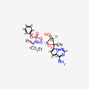 CCOC(=O)[C@@H](NP(=O)(OC[C@H]1O[C@@](C#N)(c2ccc3c(N)ncnn23)[C@@H](C)[C@@H]1O)Oc1ccccc1)C(C)C